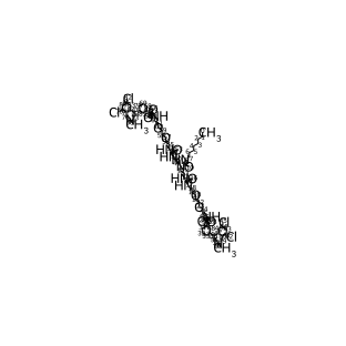 CCCCCCCCNC(=O)N(CCNC(=O)NCCOCCOCCNS(=O)(=O)c1cccc([C@@H]2CN(C)Cc3c(Cl)cc(Cl)cc32)c1)CCNC(=O)NCCOCCOCCNS(=O)(=O)c1cccc([C@@H]2CN(C)Cc3c(Cl)cc(Cl)cc32)c1